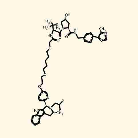 Cc1ncsc1-c1ccc(CNC(=O)[C@@H]2C[C@@H](O)CN2C(=O)C(NC(=O)COCCCCCOCCOc2ccc([C@@H]3c4[nH]c5ccccc5c4C[C@@H](C)N3CC(F)F)nc2)C(C)(C)C)cc1